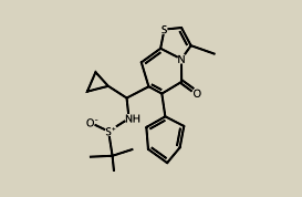 Cc1csc2cc(C(N[S+]([O-])C(C)(C)C)C3CC3)c(-c3ccccc3)c(=O)n12